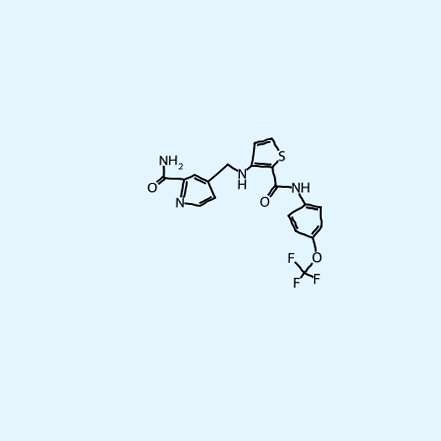 NC(=O)c1cc(CNc2ccsc2C(=O)Nc2ccc(OC(F)(F)F)cc2)ccn1